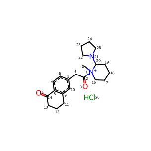 C[N+]1(C(=O)Cc2ccc3c(c2)CCCC3=O)CCCCC1N1CCCC1.Cl